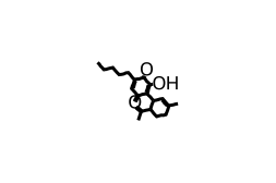 C=C(C)C1CCC(C)=CC1C1=C(O)C(=O)C(CCCCC)=CC1=O